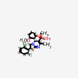 COc1cccc(OC)c1[C@@H]1C(C(=O)O)=C(C)N=C2SC(c3c(Cl)cccc3Cl)=CN21